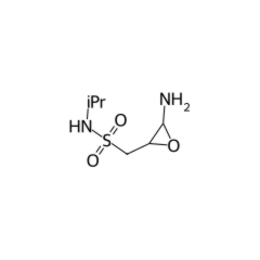 CC(C)NS(=O)(=O)CC1OC1N